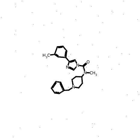 Cc1cccc(-c2cn(C(=O)N(C)C3CCN(Cc4ccccc4)CC3)cn2)c1